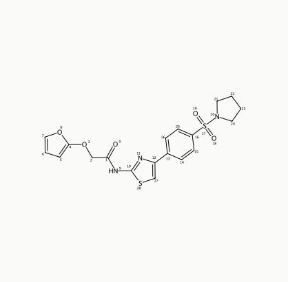 O=C(COc1ccco1)Nc1nc(-c2ccc(S(=O)(=O)N3CCCC3)cc2)cs1